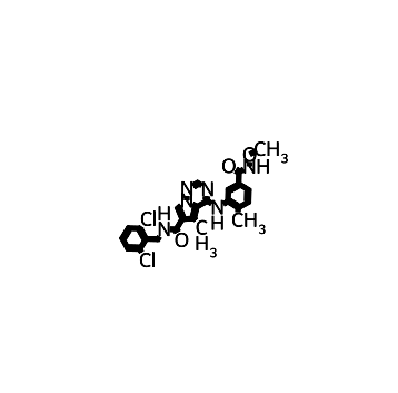 CONC(=O)c1ccc(C)c(Nc2ncnn3cc(C(=O)NCc4c(Cl)cccc4Cl)c(C)c23)c1